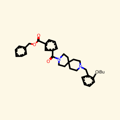 CC(C)COc1ccccc1CN1CCC2(CC1)CCN(C(=O)c1cccc(C(=O)OCc3ccccc3)c1)CC2